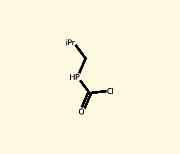 CC(C)CPC(=O)Cl